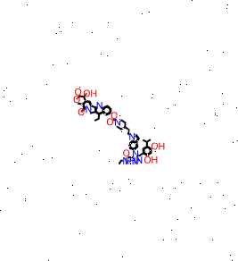 CCNC(=O)C1NN=C(c2cc(C(C)C)c(O)cc2O)N1c1ccc2c(ccn2CCC2CCN(C(=O)Oc3ccc4nc5c(c(CC)c4c3)Cn3c-5cc4c(c3=O)COC(=O)C4O)CC2)c1